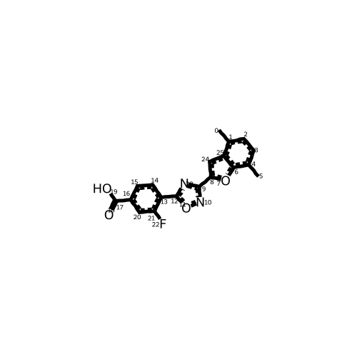 Cc1ccc(C)c2oc(-c3noc(-c4ccc(C(=O)O)cc4F)n3)cc12